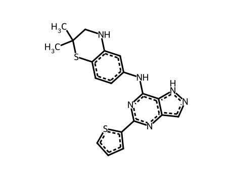 CC1(C)CNc2cc(Nc3nc(-c4cccs4)nc4cn[nH]c34)ccc2S1